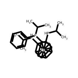 CC(C)P[C]12[CH]3[CH]4[CH]5[C]1(PC(C)C)[Fe]43521678[CH]2[CH]1[CH]6[C]7(P(c1ccccc1)C(C)C)[CH]28